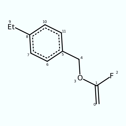 C=C(F)OCc1ccc(CC)cc1